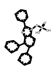 O=P(O)(O)On1c(-c2ccccc2)nc2c(-c3ccccc3)c(-c3ccccc3)ccc21